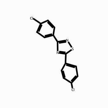 Clc1ccc(-c2nsc(-c3ccc(Cl)cc3)n2)cc1